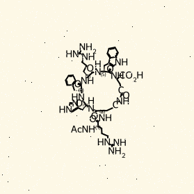 CC(=O)N[C@@H](CCCNC(=N)N)C(=O)N[C@H]1CCCNC(=O)CCC(C(=O)O)NC(=O)[C@H](Cc2c[nH]c3ccccc23)NC(=O)[C@H](CCCNC(=N)N)NC(=O)[C@@H](Cc2ccccc2)NC(=O)[C@H](Cc2c[nH]cn2)NC1=O